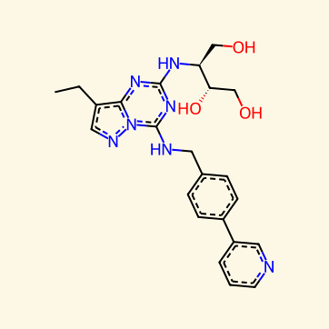 CCc1cnn2c(NCc3ccc(-c4cccnc4)cc3)nc(N[C@@H](CO)[C@@H](O)CO)nc12